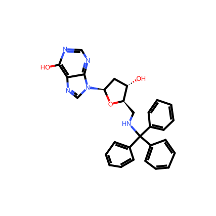 Oc1ncnc2c1ncn2[C@H]1C[C@H](O)[C@@H](CNC(c2ccccc2)(c2ccccc2)c2ccccc2)O1